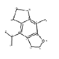 Cc1c2c(c(C(C)C)c3c1OCC3)CCC2